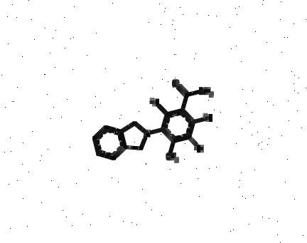 [2H]c1c([2H])c(C(F)(F)F)c(N2Cc3ccccc3C2)c([2H])c1C(N)=O